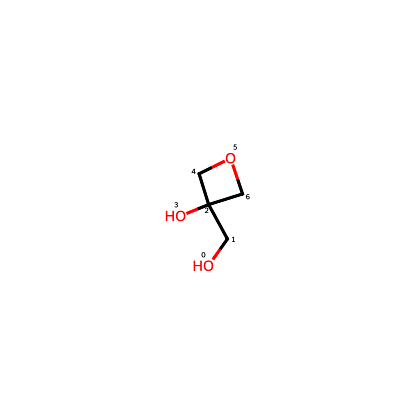 OCC1(O)COC1